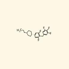 CCC[C@H]1CC[C@H](c2cc(F)c(Cc3cc(F)c(F)c(F)c3)c(F)c2)CC1